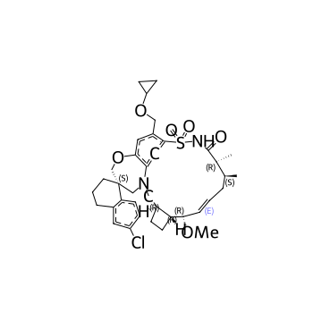 CO[C@H]1/C=C/C[C@H](C)[C@@H](C)C(=O)NS(=O)(=O)c2cc3c(cc2COC2CC2)OC[C@]2(CCCc4cc(Cl)ccc42)CN3C[C@@H]2CC[C@H]21